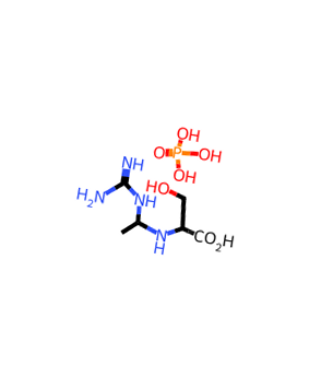 CC(NC(=N)N)NC(CO)C(=O)O.O=P(O)(O)O